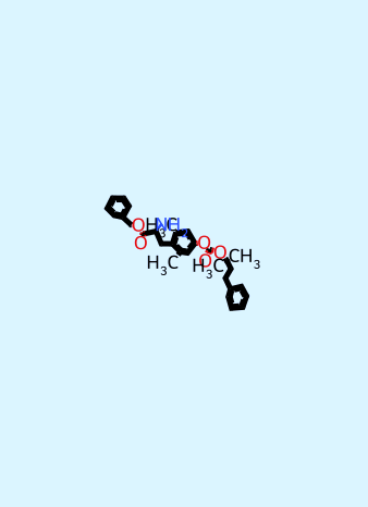 Cc1cc(OC(=O)OC(C)(C)CCc2ccccc2)cc(C)c1C[C@H](N)C(=O)OCc1ccccc1